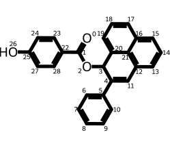 O=C(OC1C(c2ccccc2)=Cc2cccc3cccc1c23)c1ccc(O)cc1